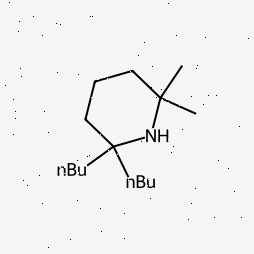 CCCCC1(CCCC)CCCC(C)(C)N1